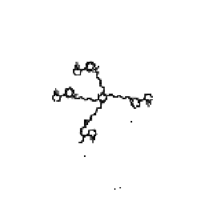 C\C=C(/C=C\C=N\CCCCCc1cc(CCCCC[n+]2cccc(C3CCCN3C)c2)c(CCCCC[n+]2cccc(C3CCCN3C)c2)cc1CCCCC[n+]1cccc(C2CCCN2C)c1)C1CCCN1C